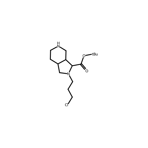 CC(C)(C)OC(=O)C1C2CNCCC2CN1CCCCl